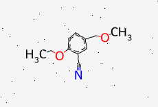 CCOc1ccc(COC)cc1C#N